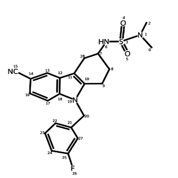 CN(C)S(=O)(=O)NC1CCc2c(c3cc(C#N)ccc3n2Cc2cccc(F)c2)C1